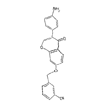 N#Cc1cccc(COc2ccc3c(=O)c(-c4ccc(N)cc4)coc3c2)c1